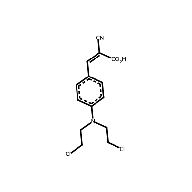 N#CC(=Cc1ccc(N(CCCl)CCCl)cc1)C(=O)O